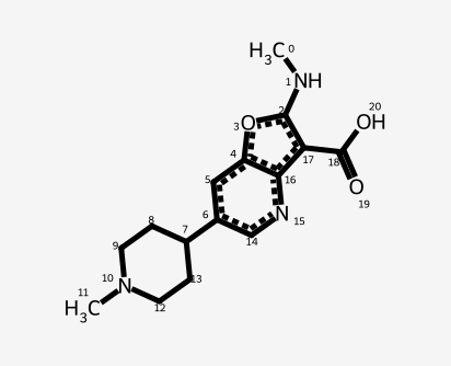 CNc1oc2cc(C3CCN(C)CC3)cnc2c1C(=O)O